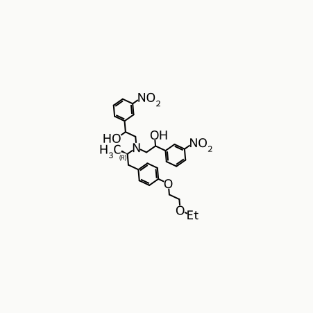 CCOCCOc1ccc(C[C@@H](C)N(CC(O)c2cccc([N+](=O)[O-])c2)CC(O)c2cccc([N+](=O)[O-])c2)cc1